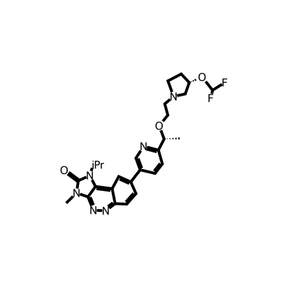 CC(C)n1c(=O)n(C)c2nnc3ccc(-c4ccc([C@@H](C)OCCN5CC[C@H](OC(F)F)C5)nc4)cc3c21